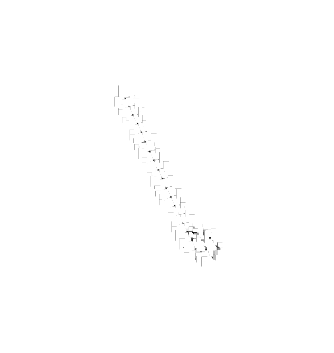 FN(F)[Si](N(F)F)(N(F)F)C(F)(F)C(F)(F)C(F)(F)C(F)(F)C(F)(F)C(F)(F)C(F)(F)C(F)(F)C(F)(F)C(F)(F)C(F)(F)C(F)(F)C(F)(F)C(F)(F)C(F)(F)C(F)(F)C(F)(F)C(F)(F)F